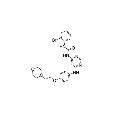 O=C(Nc1cc(Nc2ccc(OCCN3CCOCC3)cc2)ncn1)Nc1ccccc1Br